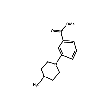 CO[N+](=O)c1cccc(N2CCN(C)CC2)c1